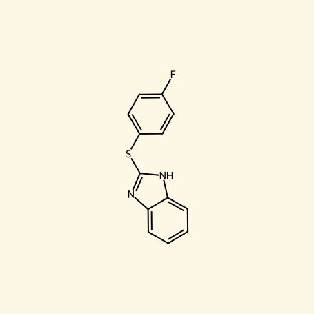 Fc1ccc(Sc2nc3ccccc3[nH]2)cc1